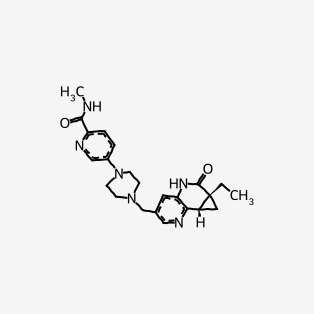 CC[C@@]12C[C@@H]1c1ncc(CN3CCN(c4ccc(C(=O)NC)nc4)CC3)cc1NC2=O